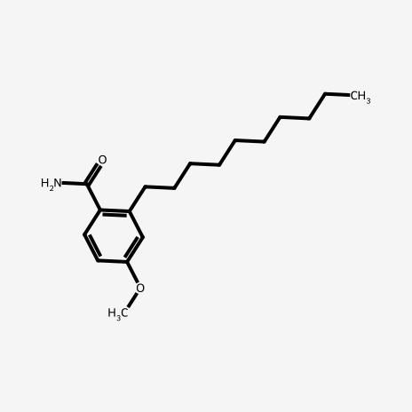 CCCCCCCCCCc1cc(OC)ccc1C(N)=O